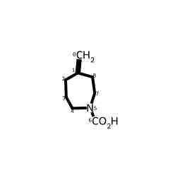 C=C1CCCN(C(=O)O)CC1